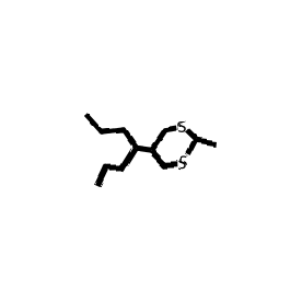 CCCC(CCC)C1CSC(C)SC1